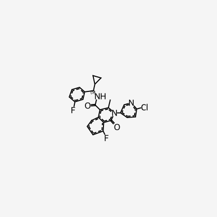 Cc1c(C(=O)N[C@H](c2cccc(F)c2)C2CC2)c2cccc(F)c2c(=O)n1-c1ccc(Cl)nc1